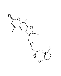 Cc1oc2c(C)c3oc(=O)cc(C)c3cc2c1COCC(=O)ON1C(=O)CCC1=O